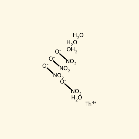 O.O.O.O.O=[N+]([O-])[O-].O=[N+]([O-])[O-].O=[N+]([O-])[O-].O=[N+]([O-])[O-].[Th+4]